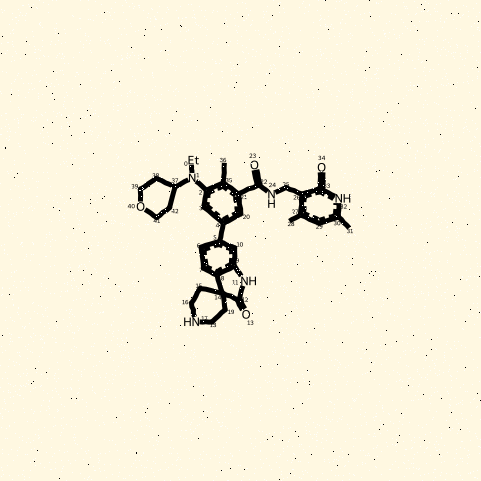 CCN(c1cc(-c2ccc3c(c2)NC(=O)C32CCNCC2)cc(C(=O)NCc2c(C)cc(C)[nH]c2=O)c1C)C1CCOCC1